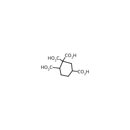 O=C(O)C1CCC(C(=O)O)C(C(=O)O)(C(=O)O)C1